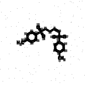 Cc1ccc(S(=O)(=O)/C=C\CCS(=O)(=O)c2ccc(C)cc2)cc1